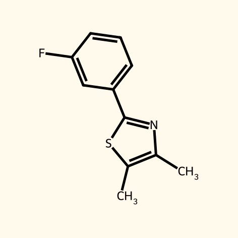 Cc1nc(-c2cccc(F)c2)sc1C